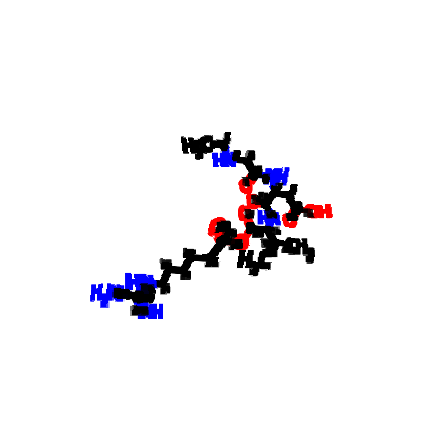 CCNCC(=O)N[C@@H](CC(=O)O)C(=O)N[C@H](C(=O)OC(=O)CCCCCNC(=N)N)C(C)C